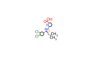 CC(C)Cc1sc(-c2cccc(C(=O)O)n2)nc1-c1ccc(Cl)c(Cl)c1